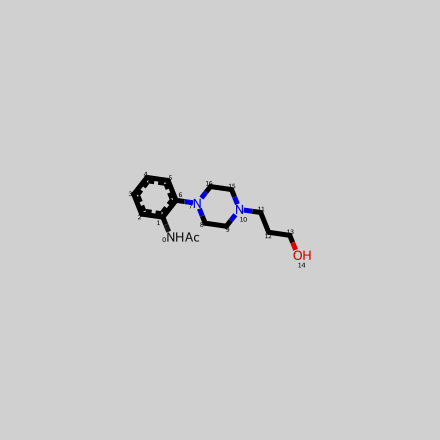 CC(=O)Nc1ccccc1N1CCN(CCCO)CC1